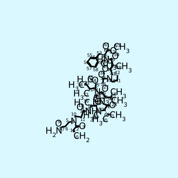 C=CC(=O)N(CCC(N)=O)CCC(=O)N[C@@H](C)C(=O)N(C)[C@H](C(=O)N[C@H](C(=O)N(C)[C@@H]([C@@H](C)CC)[C@@H](CC(=O)N1CCC[C@H]1[C@H](OC)[C@@H](C)C(=O)N[C@@H](Cc1ccccc1)C(=O)OC)OC)C(C)C)C(C)C